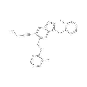 CCC#Cc1cc2cnn(Cc3ccccc3F)c2cc1COc1ncccc1I